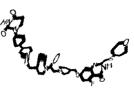 O=C1CCN(c2ccc(C3CCN(CC4CCN(C(=O)CN5CCC(COc6cc(F)c7c(=O)[nH]c(CSC8CCOCC8)nc7c6)CC5)CC4)CC3)cc2)C(=O)N1